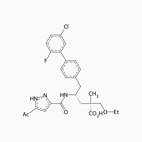 CCOC[C@](C)(C[C@@H](Cc1ccc(-c2cc(Cl)ccc2F)cc1)NC(=O)c1cc(C(C)=O)[nH]n1)C(=O)O